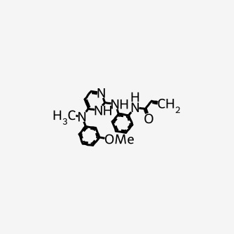 C=CC(=O)Nc1ccccc1NC1N=CC=C(N(C)c2cccc(OC)c2)N1